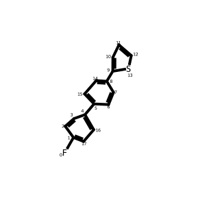 Fc1ccc(-c2ccc(-c3cccs3)cc2)cc1